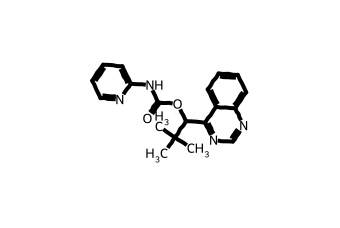 CC(C)(C)C(OC(=O)Nc1ccccn1)c1ncnc2ccccc12